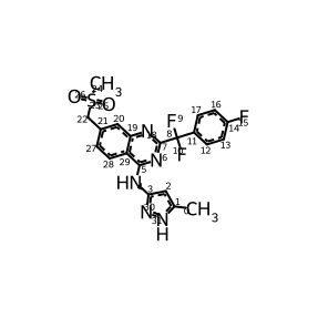 Cc1cc(Nc2nc(C(F)(F)c3ccc(F)cc3)nc3cc(CS(C)(=O)=O)ccc23)n[nH]1